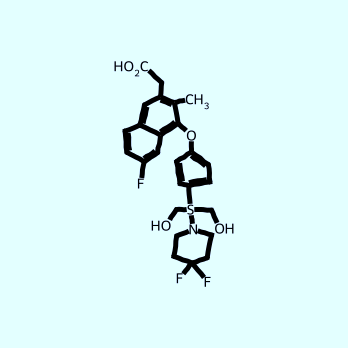 Cc1c(CC(=O)O)cc2ccc(F)cc2c1Oc1ccc(S(CO)(CO)N2CCC(F)(F)CC2)cc1